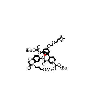 COCCCN1C(=O)COc2ccc(N(C(=O)[C@H]3CN(C(=O)OC(C)(C)C)CC[C@@H]3c3cc(OCOCC[Si](C)(C)C)cc(OC(=O)OCC(C)C)c3)C3CC3)cc21